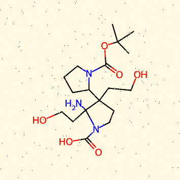 CC(C)(C)OC(=O)N1CCCC1C1(CCO)CCN(C(=O)O)C1(N)CCO